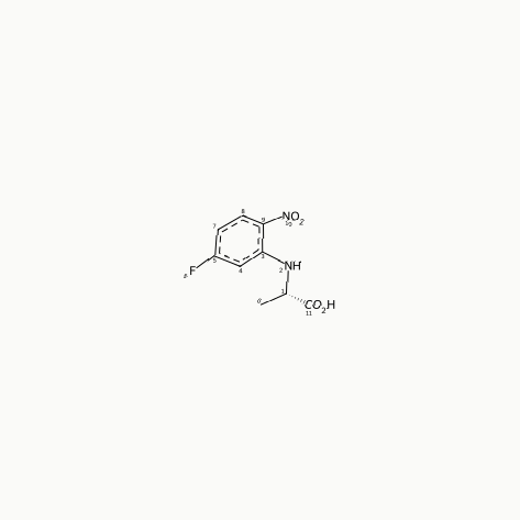 C[C@H](Nc1cc(F)ccc1[N+](=O)[O-])C(=O)O